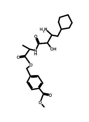 COC(=O)c1ccc(COC(=O)C(C)NC(=O)C(O)C(N)CC2CCCCC2)cc1